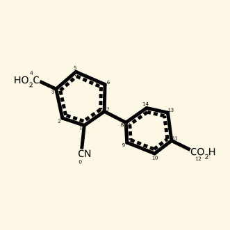 N#Cc1cc(C(=O)O)ccc1-c1ccc(C(=O)O)cc1